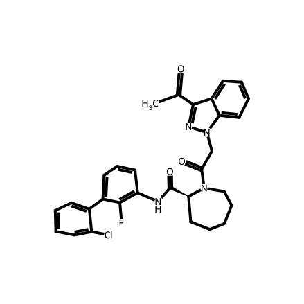 CC(=O)c1nn(CC(=O)N2CCCCC[C@H]2C(=O)Nc2cccc(-c3ccccc3Cl)c2F)c2ccccc12